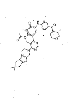 CC(=O)OCc1c(-c2cc(Nc3ccc(C(=O)N4CCOC[C@H]4C)cn3)c(=O)n(C)n2)ccnc1N1CCn2c(cc3c2CC(C)(C)C3)C1